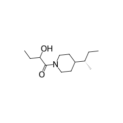 CCC(O)C(=O)N1CCC([C@@H](C)CC)CC1